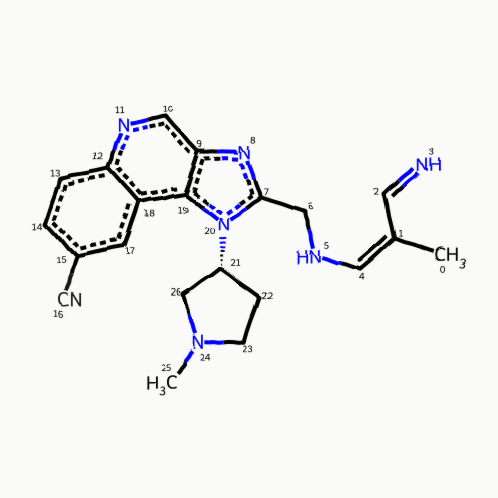 C/C(C=N)=C/NCc1nc2cnc3ccc(C#N)cc3c2n1[C@@H]1CCN(C)C1